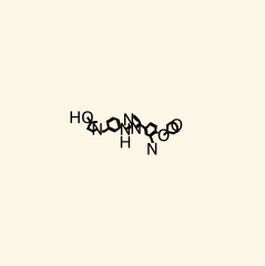 N#Cc1cc(-c2ccnc(Nc3cccc(CN4CCC(O)C4)c3)n2)ccc1OC1CCOCC1